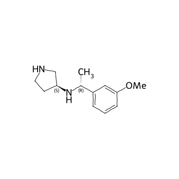 COc1cccc([C@@H](C)N[C@H]2CCNC2)c1